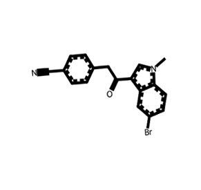 Cn1cc(C(=O)Cc2ccc(C#N)cc2)c2cc(Br)ccc21